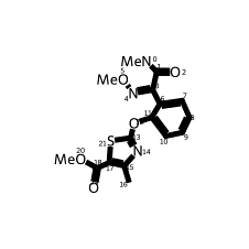 CNC(=O)C(=NOC)c1ccccc1Oc1nc(C)c(C(=O)OC)s1